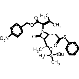 CC(C)=C(C(=O)OCc1ccc([N+](=O)[O-])cc1)N1C(=O)[C@H]([C@@H](C)O[Si](C)(C)C(C)(C)C)[C@H]1CC(=O)Sc1ccccc1